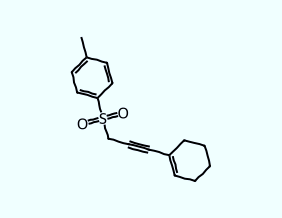 Cc1ccc(S(=O)(=O)CC#CC2=CCCCC2)cc1